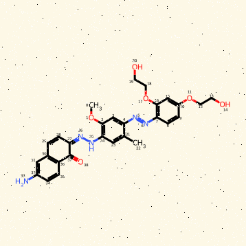 COc1cc(/N=N/c2ccc(OCCO)cc2OCCO)c(C)cc1N/N=C1/C=Cc2cc(N)ccc2C1=O